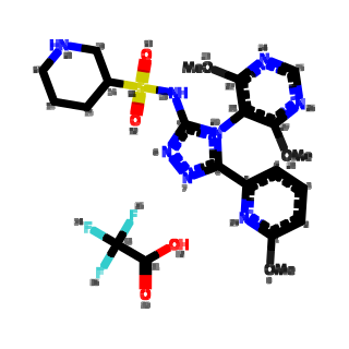 COc1cccc(-c2nnc(NS(=O)(=O)C3CCCNC3)n2-c2c(OC)ncnc2OC)n1.O=C(O)C(F)(F)F